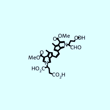 COC(=O)c1cn(C(C=O)CCOO)cc2c(/C=C\c3cc(C)c4c(C(=O)OC)cn(C(CCC(=O)O)C(=O)O)cc3-4)cc(C)c1-2